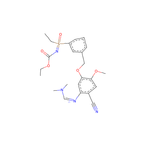 CCOC(=O)N=S(=O)(CC)c1cccc(COc2cc(/N=C\N(C)C)c(C#N)cc2OC)c1